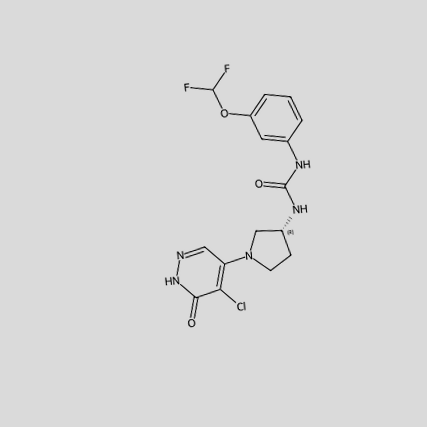 O=C(Nc1cccc(OC(F)F)c1)N[C@@H]1CCN(c2cn[nH]c(=O)c2Cl)C1